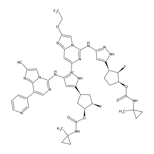 CC1(NC(=O)O[C@H]2CC[C@@H](c3cc(Nc4nc(-[n+]5[nH]c([C@H]6C[C@@H](F)[C@@H](OC(=O)NC7(C)CC7)C6)cc5Nc5ncc(-c6cccnc6)c6nc(C#N)cn56)cc5nc(OCC(F)(F)F)cn45)n[nH]3)[C@H]2F)CC1